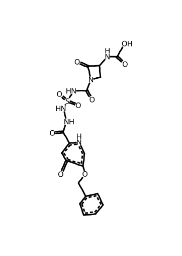 O=C(O)NC1CN(C(=O)NS(=O)(=O)NNC(=O)c2cc(=O)c(OCc3ccccc3)c[nH]2)C1=O